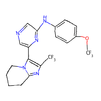 FC(F)(F)Oc1ccc(Nc2cncc(-c3c(C(F)(F)F)nc4n3CCCC4)n2)cc1